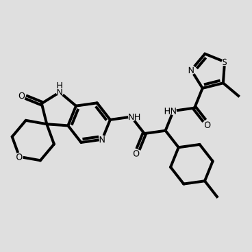 Cc1scnc1C(=O)NC(C(=O)Nc1cc2c(cn1)C1(CCOCC1)C(=O)N2)C1CCC(C)CC1